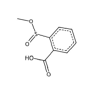 COS(=O)c1ccccc1C(=O)O